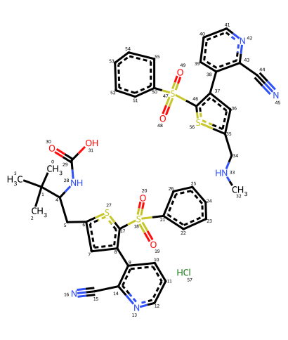 CC(C)(C)C(Cc1cc(-c2cccnc2C#N)c(S(=O)(=O)c2ccccc2)s1)NC(=O)O.CNCc1cc(-c2cccnc2C#N)c(S(=O)(=O)c2ccccc2)s1.Cl